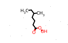 CCC(C)CCCC(=O)OO